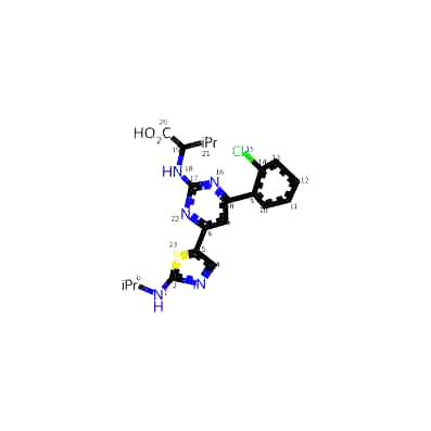 CC(C)Nc1ncc(-c2cc(-c3ccccc3Cl)nc(NC(C(=O)O)C(C)C)n2)s1